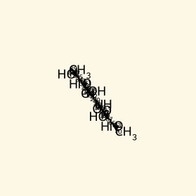 CCC(=O)NCCCCCN(O)C(=O)CCC(=O)NCCCCCN(O)C(=O)CCC(=O)NCCCCCN(C)O